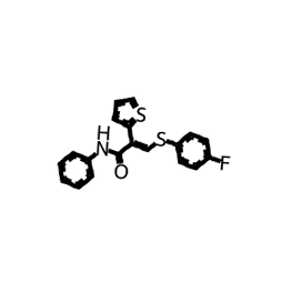 O=C(Nc1ccccc1)C(=CSc1ccc(F)cc1)c1cccs1